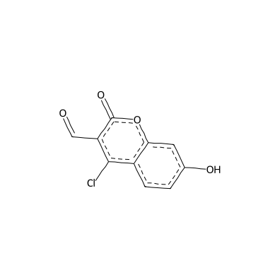 O=Cc1c(Cl)c2ccc(O)cc2oc1=O